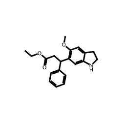 CCOC(=O)CC(c1ccccc1)c1cc2c(cc1OC)CCN2